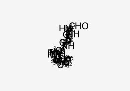 C[C@@H](C(=O)N[C@@H](CCCCNC(=O)c1cccc(C(=O)N[C@@H]2CN[C@H](C=O)C2)c1)C(=O)N1CCCC[C@H]1C(=O)N[C@@H]1CCCc2ccccc21)N(C)Cl